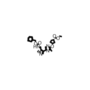 CCOC(=O)[C@H]1CC[C@H](Oc2ncc(-c3cnn(C)c3CNC(=O)OCc3ccccc3)nc2C)C1